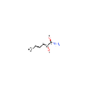 CCCCC([O])C(N)=O